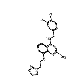 Cc1cc(NCc2ccc(Cl)c(Cl)c2)c2cccc(OCCn3cccn3)c2n1.Cl